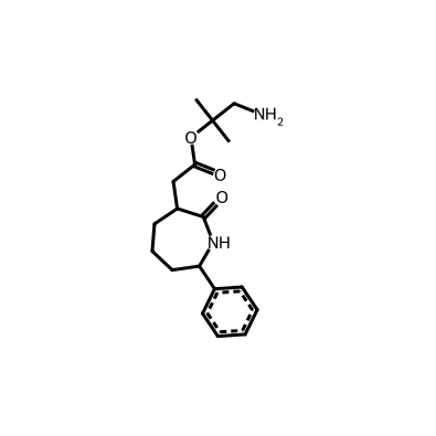 CC(C)(CN)OC(=O)CC1CCCC(c2ccccc2)NC1=O